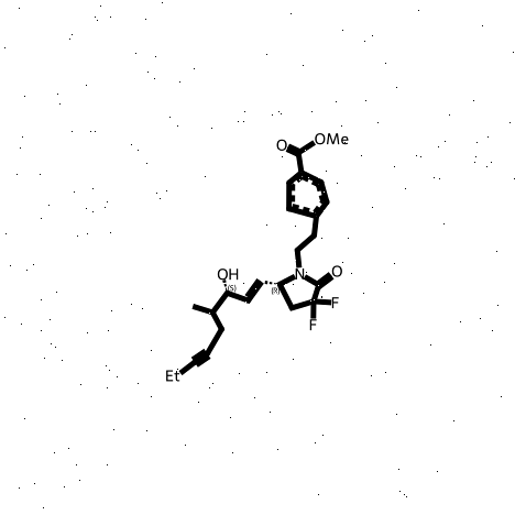 CCC#CCC(C)[C@H](O)C=C[C@H]1CC(F)(F)C(=O)N1CCc1ccc(C(=O)OC)cc1